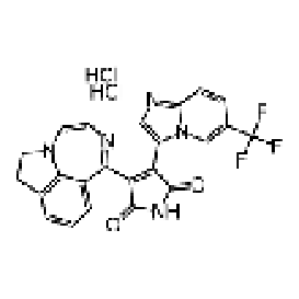 Cl.Cl.O=C1NC(=O)C(c2cnc3ccc(C(F)(F)F)cn23)=C1C1=NC=CN2CCc3cccc1c32